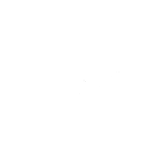 O=C(O)[C@@H](Cc1ccc(C(F)(F)F)cc1)NS(=O)(=O)c1ccc(-c2ccc(CI)cc2)cc1